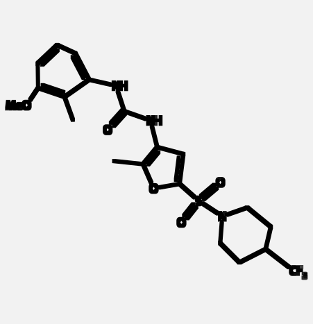 COc1cccc(NC(=O)Nc2cc(S(=O)(=O)N3CCC(C(F)(F)F)CC3)oc2C)c1C